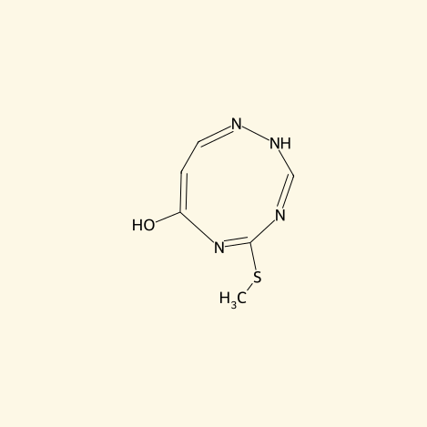 CSc1nc[nH]nccc(O)n1